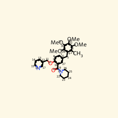 COc1c(C)c(Cc2ccc(OCc3cccnc3)c(C(=O)N3CCCCC3)c2)c(OC)c(OC)c1OC